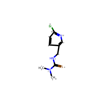 CN(C)C(=S)NCc1ccc(Br)nc1